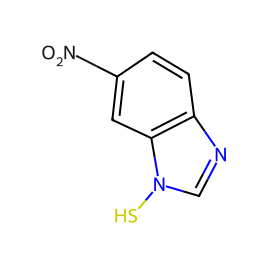 O=[N+]([O-])c1ccc2ncn(S)c2c1